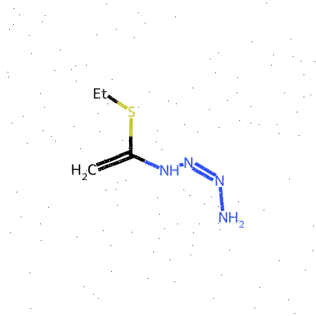 C=C(N/N=N\N)SCC